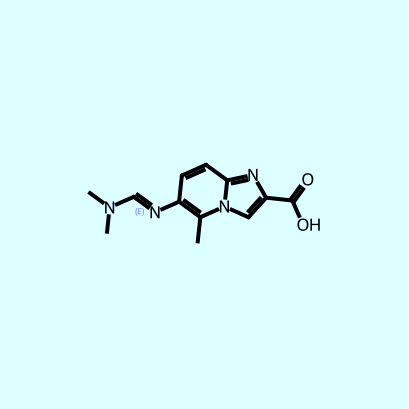 Cc1c(/N=C/N(C)C)ccc2nc(C(=O)O)cn12